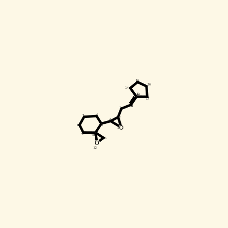 C(CC1OC1C1CCCCC12CO2)=C1CCCC1